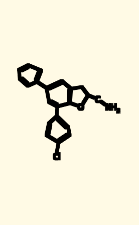 NCC1Cc2cc(-c3ccccc3)cc(-c3ccc(Cl)cc3)c2O1